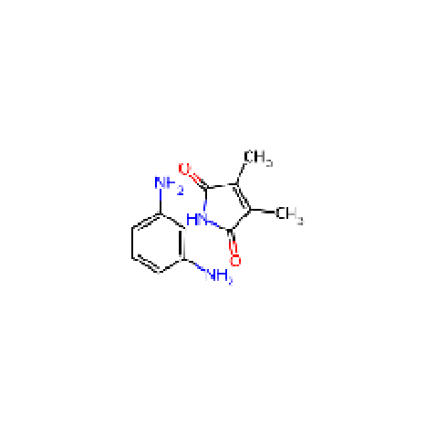 CC1=C(C)C(=O)NC1=O.Nc1cccc(N)c1